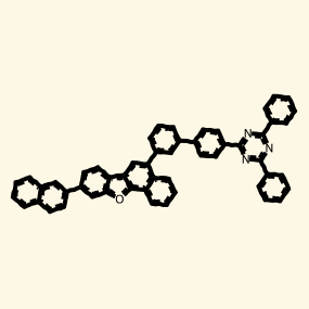 c1ccc(-c2nc(-c3ccccc3)nc(-c3ccc(-c4cccc(-c5cc6c7ccc(-c8ccc9ccccc9c8)cc7oc6c6ccccc56)c4)cc3)n2)cc1